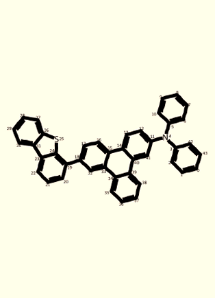 c1ccc(N(c2ccccc2)c2ccc3c4ccc(-c5cccc6c5sc5ccccc56)cc4c4ccccc4c3c2)cc1